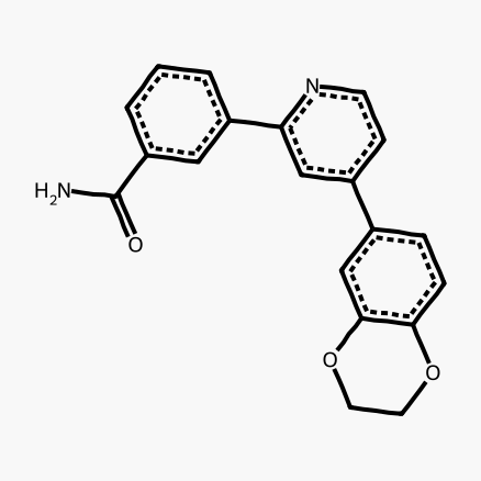 NC(=O)c1cccc(-c2cc(-c3ccc4c(c3)OCCO4)ccn2)c1